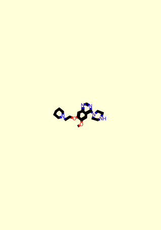 COc1cc2c(N3CCNCC3)ncnc2cc1OCCN1CCCCC1